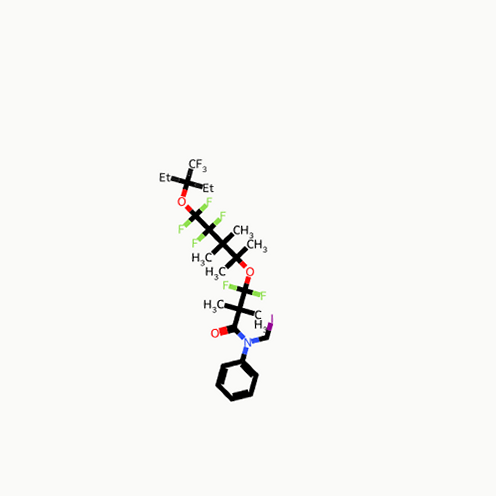 CCC(CC)(OC(F)(F)C(F)(F)C(C)(C)C(C)(C)OC(F)(F)C(C)(C)C(=O)N(CI)c1ccccc1)C(F)(F)F